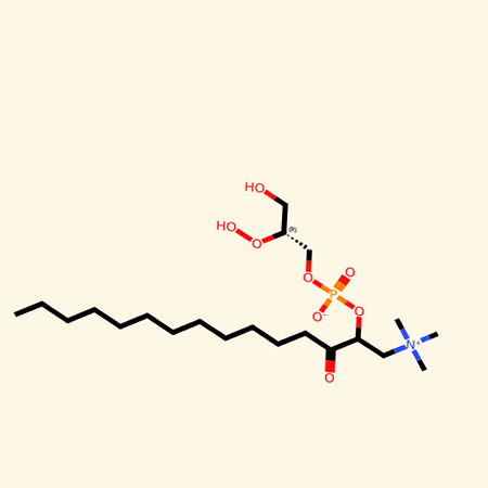 CCCCCCCCCCCCC(=O)C(C[N+](C)(C)C)OP(=O)([O-])OC[C@@H](CO)OO